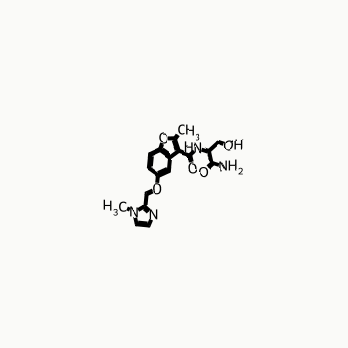 Cc1oc2ccc(OCc3nccn3C)cc2c1C(=O)NC(CO)C(N)=O